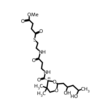 COC(=O)CCC(=O)SCCNC(=O)CCNC(=O)[C@@H]1OC(CC(O)CC(C)O)OCC1(C)C